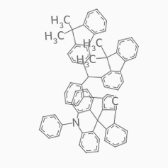 CC1(C)c2ccccc2-c2cc(C(c3ccccc3-c3cccc4c3C3(c5ccccc5-4)c4ccccc4N(c4ccccc4)c4ccccc43)c3cccc4c3C(C)(C)c3ccccc3-4)ccc21